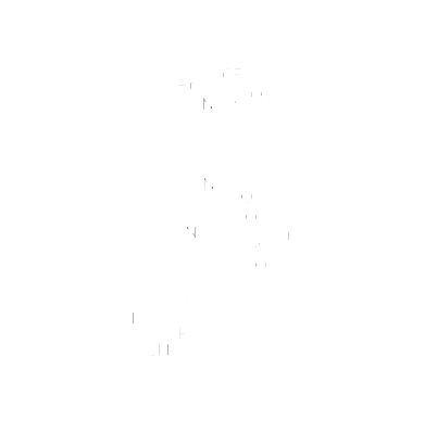 CCN=S(=O)(c1ccc2oc(-c3ncc(OCC(C)(F)F)cc3S(=O)(=O)CC)nc2c1)C(F)(F)F